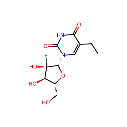 CCc1cn([C@@H]2O[C@H](CO)[C@@H](O)[C@]2(O)F)c(=O)[nH]c1=O